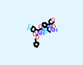 O=C(N[C@H](c1nc2cc(C3(N4CC(F)(F)CNC4=O)CCOCC3)ccc2o1)C1CCC(F)(F)CC1)OCc1ccccc1